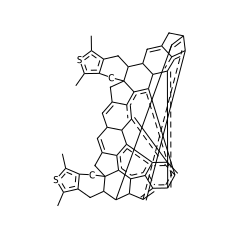 Cc1sc(C)c2c1CC1C3C=C4CC5=CC6C7c8c9c%10c%11c%12c%13c%14c%15c(c%16c%13c%13c(c4c5c7c%13c8%12)C%163)C1(CC%15=CC(C=C%10CC91Cc3c(C)sc(C)c3CC61)C%14%11)C2